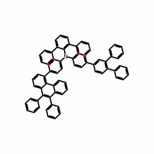 c1ccc(-c2ccc(-c3ccc(N(c4ccc(-c5cccc6c(-c7ccccc7)c(-c7ccccc7)c7ccccc7c56)cc4)c4c(-c5ccccc5)cccc4-c4ccccc4)cc3)cc2-c2ccccc2)cc1